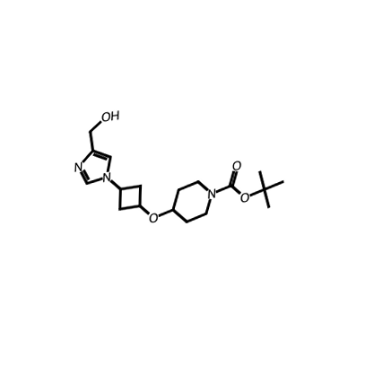 CC(C)(C)OC(=O)N1CCC(OC2CC(n3cnc(CO)c3)C2)CC1